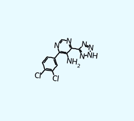 Nc1c(-c2ccc(Cl)c(Cl)c2)ncnc1-c1nn[nH]n1